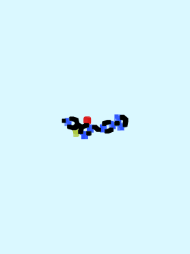 CN1CCc2c(sc3ncn(CCN4CCN(c5ncccn5)CC4)c(=O)c23)C1